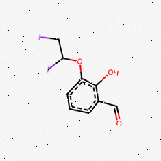 O=Cc1cccc(OC(I)CI)c1O